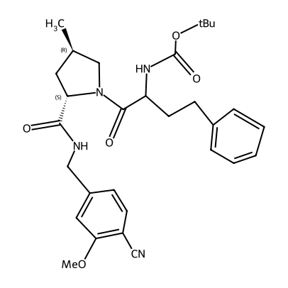 COc1cc(CNC(=O)[C@@H]2C[C@@H](C)CN2C(=O)C(CCc2ccccc2)NC(=O)OC(C)(C)C)ccc1C#N